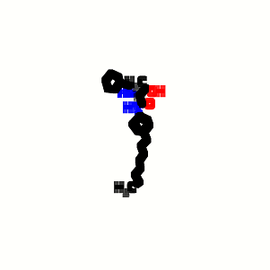 CCCCCCCCc1ccc(NC(=O)[C@@H](NCC2CCCCC2)[C@H](C)O)cc1